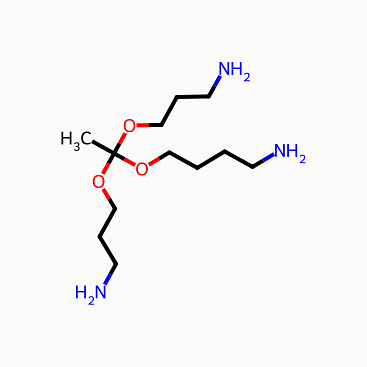 CC(OCCCN)(OCCCN)OCCCCN